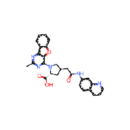 Cc1nc(N2C[C@@H](CC(=O)Nc3ccc4cccnc4c3)C[C@@H]2C(=O)O)c2oc3ccccc3c2n1